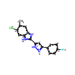 Cc1cc2nc(-c3cc(-c4ccc(F)cc4)n[nH]3)[nH]c2cc1Cl